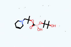 CC(C)(CN1CC=CCC1)OC(=O)B(O)OC(C)(C)C(C)(C)O